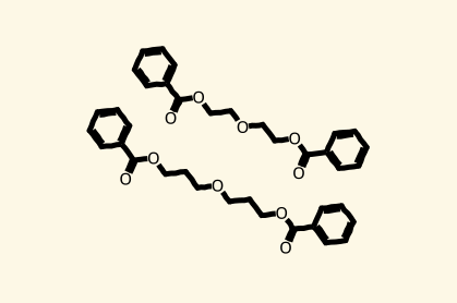 O=C(OCCCOCCCOC(=O)c1ccccc1)c1ccccc1.O=C(OCCOCCOC(=O)c1ccccc1)c1ccccc1